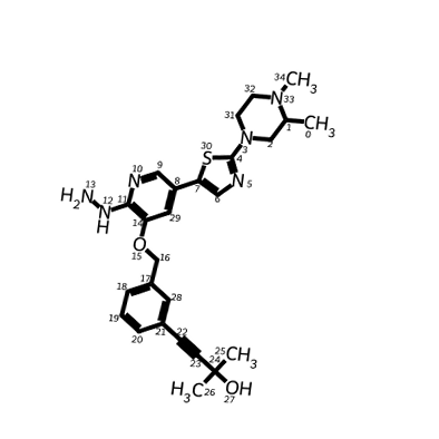 CC1CN(c2ncc(-c3cnc(NN)c(OCc4cccc(C#CC(C)(C)O)c4)c3)s2)CCN1C